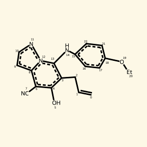 C=CCc1c(O)c(C#N)c2ccnn2c1Nc1ccc(OCC)cc1